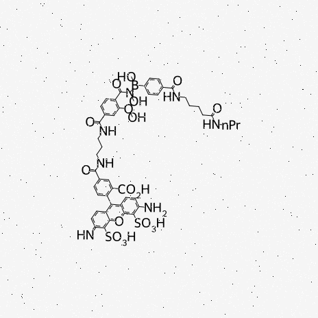 CCCNC(=O)CCCCNC(=O)c1ccc(B(O)N(O)C(=O)c2ccc(C(=O)NCCCNC(=O)c3ccc(-c4c5ccc(=N)c(S(=O)(=O)O)c-5oc5c(S(=O)(=O)O)c(N)ccc45)c(C(=O)O)c3)cc2OO)cc1